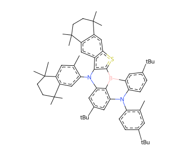 Cc1cc(C(C)(C)C)ccc1N1c2ccc(C(C)(C)C)cc2B2c3sc4cc5c(cc4c3N(c3cc4c(cc3C)C(C)(C)CCC4(C)C)c3cc(C(C)(C)C)cc1c32)C(C)(C)CCC5(C)C